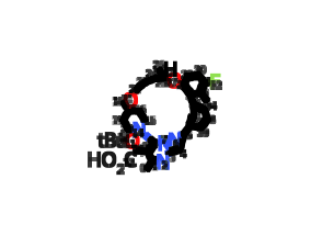 Cc1nc2cc3nn2c(c1[C@H](OC(C)(C)C)C(=O)O)N1CCC(C)(CC1)OCCC[C@H](C)Oc1ccc(F)c(C)c1-c1cccc-3c1